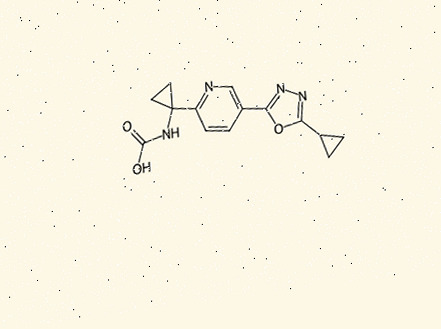 O=C(O)NC1(c2ccc(-c3nnc(C4CC4)o3)cn2)CC1